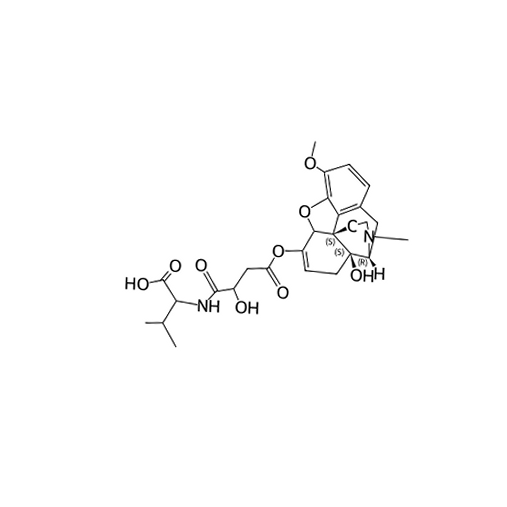 COc1ccc2c3c1OC1C(OC(=O)CC(O)C(=O)NC(C(=O)O)C(C)C)=CC[C@@]4(O)[C@@H](C2)N(C)CC[C@]314